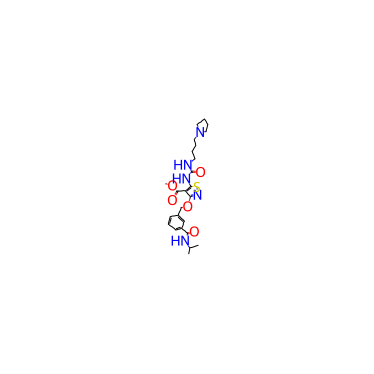 COC(=O)c1c(OCc2cccc(C(=O)NC(C)C)c2)nsc1NC(=O)NCCCCN1CCCC1